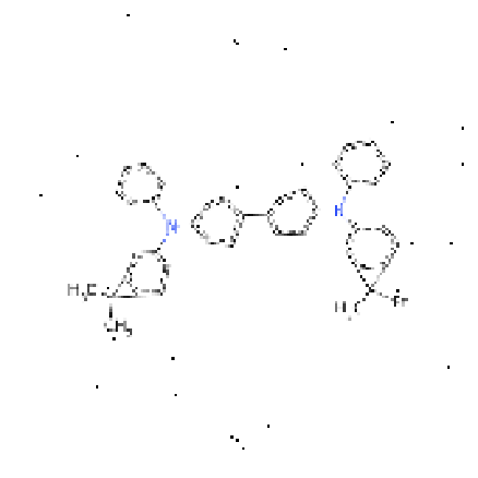 CCC1(C)c2ccc(N(c3ccccc3)c3ccc(-c4ccc(N(c5ccccc5)c5ccc6c(c5)C6(C)C)cc4)cc3)cc21